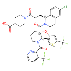 CCC[C@H]1N(C(=O)c2ncccc2C(F)(F)F)CCC[C@@]1(Oc1csc(C(F)(F)F)c1)C(=O)N1CCc2cc(Cl)ccc2[C@@H]1CCC(=O)N1CCC(C(=O)O)CC1